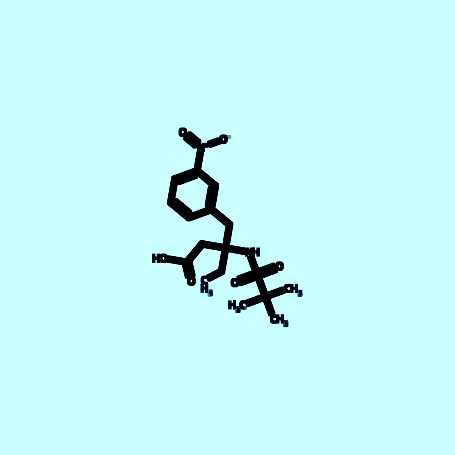 CCC(CC(=O)O)(Cc1cccc([N+](=O)[O-])c1)NS(=O)(=O)C(C)(C)C